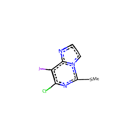 CSc1nc(Cl)c(I)c2nccn12